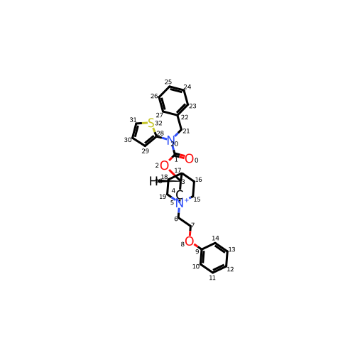 O=C(O[C@H]1C[N+]2(CCOc3ccccc3)CCC1CC2)N(Cc1ccccc1)c1cccs1